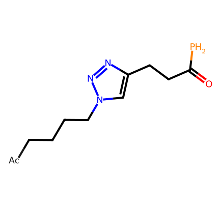 CC(=O)CCCCn1cc(CCC(=O)P)nn1